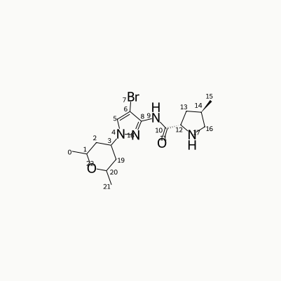 CC1CC(n2cc(Br)c(NC(=O)[C@@H]3C[C@@H](C)CN3)n2)CC(C)O1